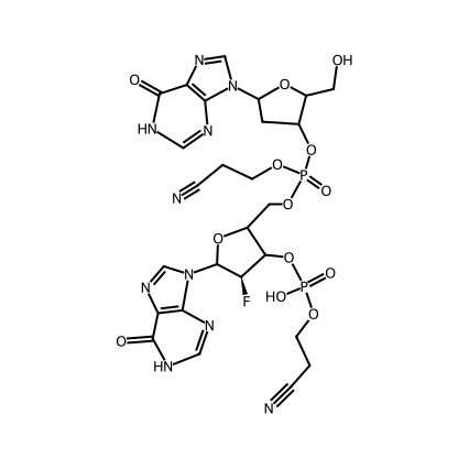 N#CCCOP(=O)(O)OC1C(COP(=O)(OCCC#N)OC2CC(n3cnc4c(=O)[nH]cnc43)OC2CO)OC(n2cnc3c(=O)[nH]cnc32)[C@@H]1F